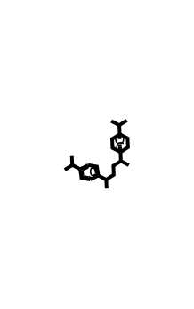 CC(C)c1cc2oc1cc2C(C)CCC(C)C12CCC(C(C)C)(CC1)OC2